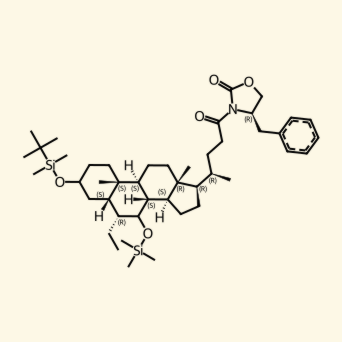 CC[C@H]1C(O[Si](C)(C)C)[C@@H]2[C@H](CC[C@]3(C)[C@@H]([C@H](C)CCC(=O)N4C(=O)OC[C@H]4Cc4ccccc4)CC[C@@H]23)[C@@]2(C)CCC(O[Si](C)(C)C(C)(C)C)C[C@@H]12